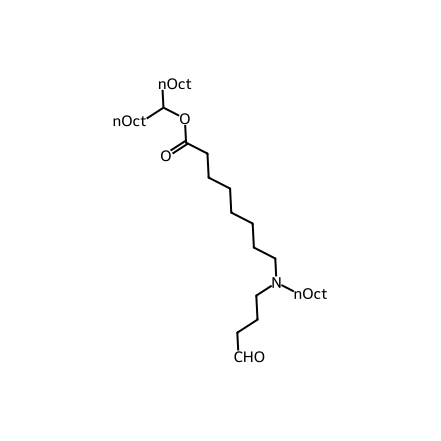 CCCCCCCCC(CCCCCCCC)OC(=O)CCCCCCCN(CCCC=O)CCCCCCCC